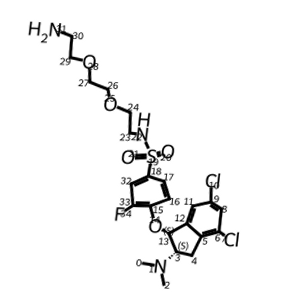 CN(C)[C@H]1Cc2c(Cl)cc(Cl)cc2[C@@H]1Oc1ccc(S(=O)(=O)NCCOCCOCCN)cc1F